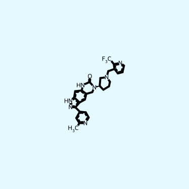 Cc1cc(-c2n[nH]c3cc4c(cc23)CN([C@@H]2CCCN(Cc3cccnc3C(F)(F)F)C2)C(=O)N4)ccn1